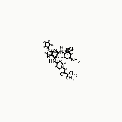 CC(C)C(=O)CN1CCC(Nc2nc(NC3CCC(N)CC3)nc3c2ncn3C2CCCC2)CC1.Cl.Cl